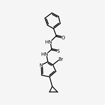 O=C(NC(=S)Nc1ncc(C2CC2)cc1Br)c1ccccc1